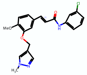 COc1ccc(/C=C/C(=O)Nc2cccc(Cl)c2)cc1OCc1cnn(C)c1